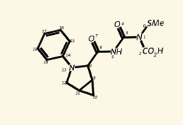 CSN(C(=O)O)C(=O)NC(=O)C1C2CC2CN1c1ccccc1